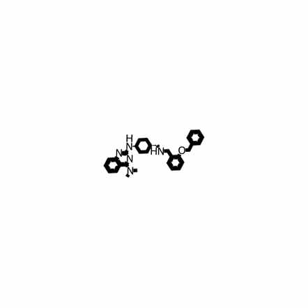 CN(C)c1nc(N[C@H]2CC[C@@H](CNCc3ccccc3OCc3ccccc3)CC2)nc2ccccc12